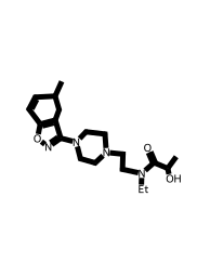 CCN(CCN1CCN(c2noc3c2CC(C)C=C3)CC1)C(=O)C(C)O